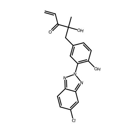 C=CC(=O)C(C)(O)Cc1ccc(O)c(-n2nc3ccc(Cl)cc3n2)c1